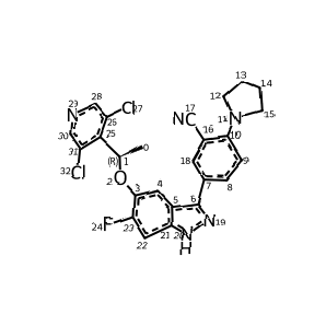 C[C@@H](Oc1cc2c(-c3ccc(N4CCCC4)c(C#N)c3)n[nH]c2cc1F)c1c(Cl)cncc1Cl